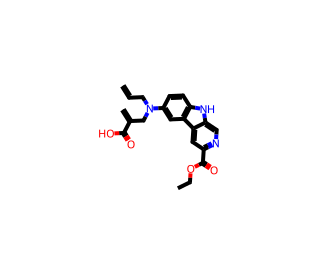 C=CCN(CC(=C)C(=O)O)c1ccc2[nH]c3cnc(C(=O)OCC)cc3c2c1